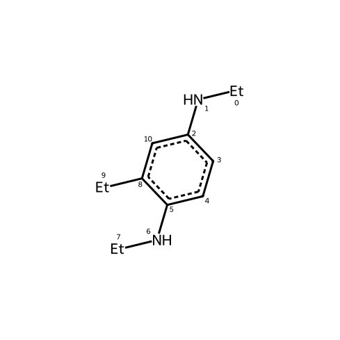 CCNc1ccc(NCC)c(CC)c1